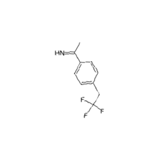 CC(=N)c1ccc(CC(F)(F)F)cc1